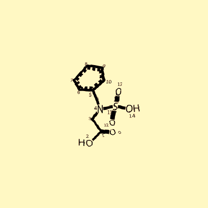 O=C(O)CN(c1ccccc1)S(=O)(=O)O